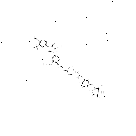 CCc1cc(N2C(=S)N(c3cnc(C#N)c(C(F)(F)F)c3)C(=O)C2(C)C)ccc1OCCC1CCN(CC(=O)Nc2cccc(NC3CCC(=O)NC3=O)c2)CC1